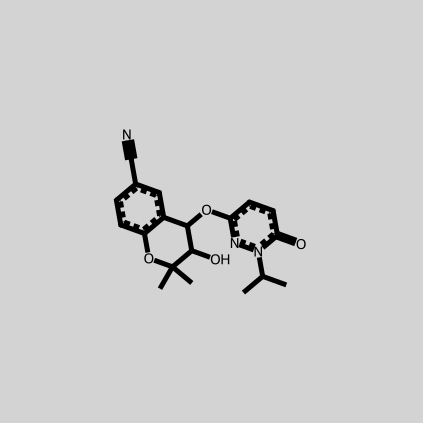 CC(C)n1nc(OC2c3cc(C#N)ccc3OC(C)(C)C2O)ccc1=O